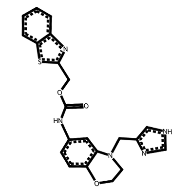 O=C(Nc1ccc2c(c1)N(Cc1c[nH]cn1)CCO2)OCc1nc2ccccc2s1